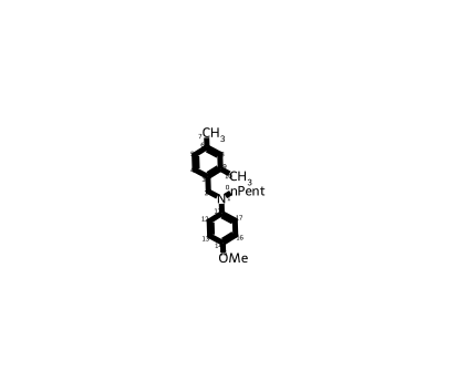 CCCCCN(Cc1ccc(C)cc1C)c1ccc(OC)cc1